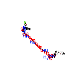 CC(C)CCCC(C)[C@H]1CCC2C3CCC4C[C@@H](OC(=O)C[C@H](NC(=O)CCOCCOCCNC(=O)CCOCCOCCOCCNC(=O)CCOCCOCCNC(=O)CCC(=O)N5CCN(C(=O)c6cn7nc(-c8ccc(F)cc8)cc(C(C)(C)C)c7n6)C(C)(C)C5)C(N)=O)CC[C@]4(C)C3CC[C@@]21C